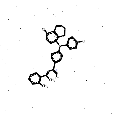 CC/C=C(\C=C(/C)c1ccccc1C)c1ccc(N(c2ccc(Cl)cc2)c2ccc(Cl)c3c2CCC=C3)cc1